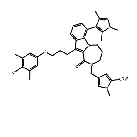 Cc1cc(OCCCc2c3n(c4c(-c5c(C)nn(C)c5C)cccc24)CCCN(Cc2cc(C(=O)O)n(C)c2)C3=O)cc(C)c1Cl